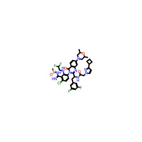 CC1CN(c2ccc3c(=O)n(-c4ccc(Cl)c(C(=N)N[S+](C)[O-])c4NCC(F)F)c(C(Cc4cc(F)cc(F)c4)NC(=O)Cn4ccc(C5CCC5)n4)nc3c2)CC(C)O1